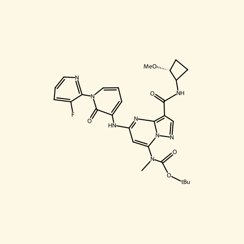 CO[C@@H]1CCC1NC(=O)c1cnn2c(N(C)C(=O)OC(C)(C)C)cc(Nc3cccn(-c4ncccc4F)c3=O)nc12